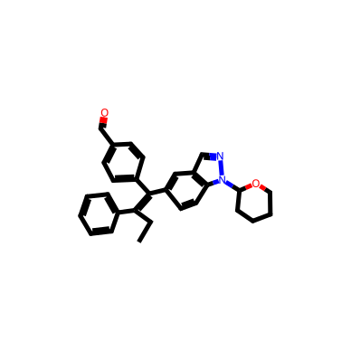 CC/C(=C(/c1ccc(C=O)cc1)c1ccc2c(cnn2C2CCCCO2)c1)c1ccccc1